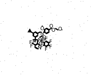 COCCOC(=O)c1ccc(N(Cc2cc(C3CC3)cc(C(C)(C)C)c2)C(=O)CN(Cc2cnccc2C(F)(F)F)S(=O)(=O)c2c(F)c(F)c(F)c(F)c2F)c(OC)c1